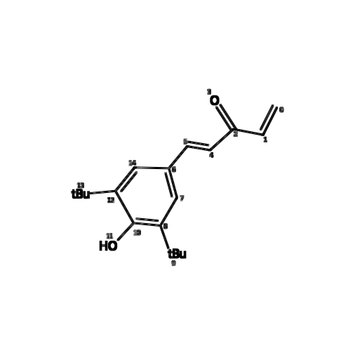 C=CC(=O)C=Cc1cc(C(C)(C)C)c(O)c(C(C)(C)C)c1